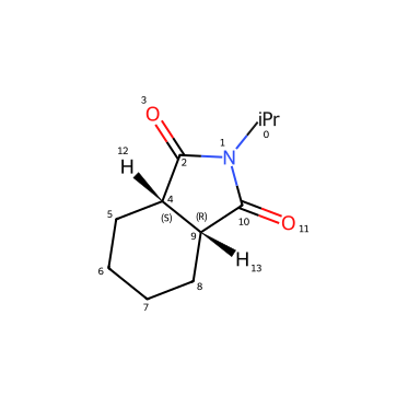 CC(C)N1C(=O)[C@H]2CCCC[C@H]2C1=O